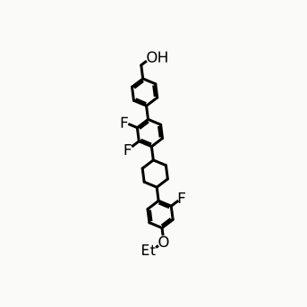 CCOc1ccc(C2CCC(c3ccc(-c4ccc(CO)cc4)c(F)c3F)CC2)c(F)c1